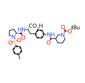 Cc1ccc(S(=O)(=O)N2CCC[C@H]2C(=O)N[C@@H](Cc2ccc(NC(=O)C3CCCN(C(=O)OC(C)(C)C)C3)cc2)C(=O)O)cc1